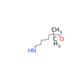 CC(C)([C]=O)CCCC[C]=N